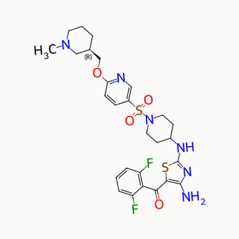 CN1CCC[C@@H](COc2ccc(S(=O)(=O)N3CCC(Nc4nc(N)c(C(=O)c5c(F)cccc5F)s4)CC3)cn2)C1